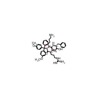 COc1ccc(C(c2ccccc2)(c2ccc(OC)cc2)N(C(=O)[C@@H](N)CCCNC(=N)N)[C@@H](CCCCN)C(=O)N[C@@H](Cc2ccccc2)C(=O)O)cc1